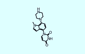 Cn1ccc2c(-n3ccc(=O)[nH]c3=O)ccc(N3CCNCC3)c21